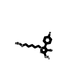 CCCCOCCCCCn1nc(C)c(Br)c1-c1ccc(F)cc1